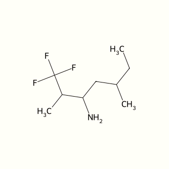 CCC(C)CC(N)C(C)C(F)(F)F